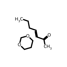 C1COCOC1.CCCC=CC(C)=O